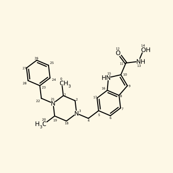 CC1CN(Cc2ccc3cc(C(=O)NO)[nH]c3c2)CC(C)N1Cc1ccccc1